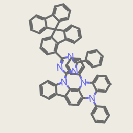 c1ccc(-c2nc(-c3cccc4c3-c3ccccc3C43c4ccccc4-c4ccccc43)nc(-n3c4ccccc4c4ccc5c(c43)N(c3ccccc3)c3ccccc3N5c3ccccc3)n2)cc1